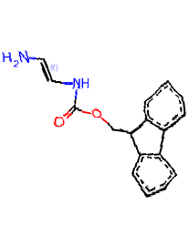 N/C=C/NC(=O)OCC1c2ccccc2-c2ccccc21